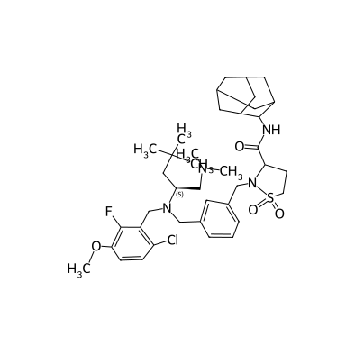 COc1ccc(Cl)c(CN(Cc2cccc(CN3C(C(=O)NC4C5CC6CC(C5)CC4C6)CCS3(=O)=O)c2)[C@H](CN(C)C)CC(C)(C)C)c1F